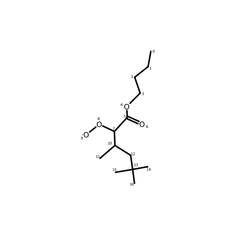 CCCCOC(=O)C(O[O])C(C)CC(C)(C)C